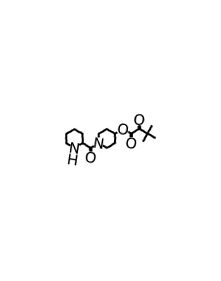 CC(C)(C)C(=O)C(=O)OC1CCN(C(=O)C2CCCCN2)CC1